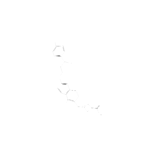 CC1=C(CN2CC(C(=O)O)C2)CCc2cc(OCCC(O)c3ccc(Cl)cc3)ccc21